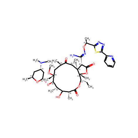 CC[C@@H]1OC(=O)[C@H](C)C(O)[C@H](C)[C@@H](O[C@H]2C[C@@H](N(C)C)C[C@H](C)O2)[C@](C)(OC)C[C@@H](C)C(=O)[C@H](C)[C@H]2[C@H](/C(N)=N/O[C@@H](C)c3nnc(-c4ccccn4)s3)C(=O)O[C@@]21C